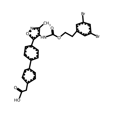 Cc1noc(-c2ccc(-c3ccc(CC(=O)O)cc3)cc2)c1NC(=O)OCCc1cc(Br)cc(Br)c1